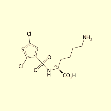 NCCCC[C@H](NS(=O)(=O)c1cc(Cl)sc1Cl)C(=O)O